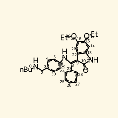 CCCCNCc1ccc(NC(=C2C(=O)Nc3cc(OCC)c(OCC)cc32)c2ccccc2)cc1